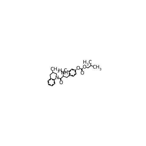 Cc1cc(OC(=O)OCC(C)C)ccc1CC(N)C(=O)N1CC(C)Cc2ccccc21